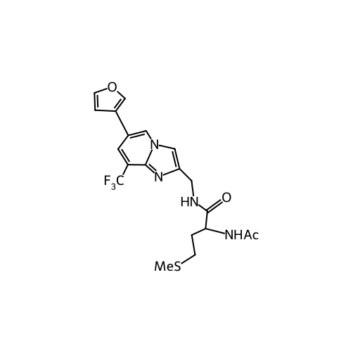 CSCCC(NC(C)=O)C(=O)NCc1cn2cc(-c3ccoc3)cc(C(F)(F)F)c2n1